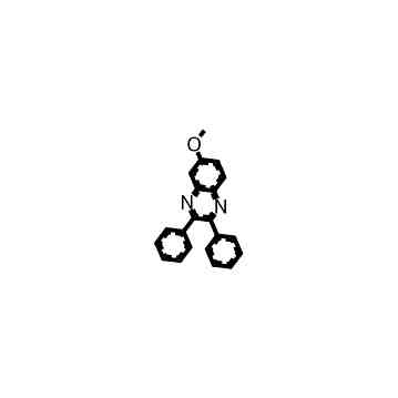 COc1ccc2nc(-c3ccccc3)c(-c3ccccc3)nc2c1